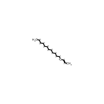 C/C=C/OCCCCCCCCCCCC